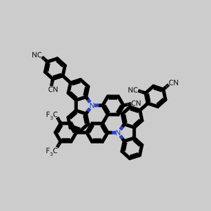 N#Cc1ccc(-c2ccc3c(c2)c2ccccc2n3-c2ccc(C#N)cc2-c2cc(-c3cc(C(F)(F)F)cc(C(F)(F)F)c3)ccc2-n2c3ccccc3c3cc(-c4ccc(C#N)cc4C#N)ccc32)c(C#N)c1